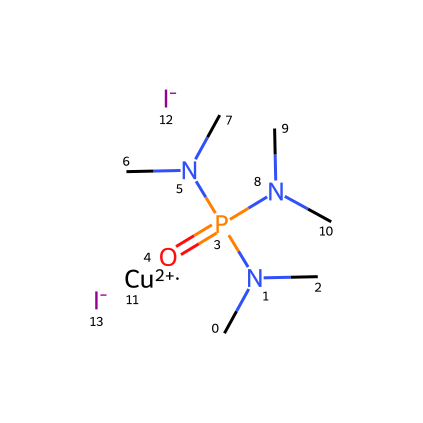 CN(C)P(=O)(N(C)C)N(C)C.[Cu+2].[I-].[I-]